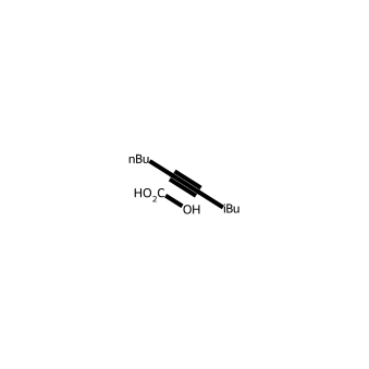 CCCCC#CC(C)CC.O=C(O)O